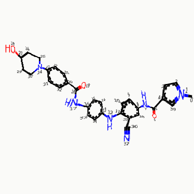 Cn1ccc(C(=O)Nc2ccc(Nc3ccc(NC(=O)c4ccc(N5CCC(O)CC5)cc4)cc3)c(C#N)c2)c1